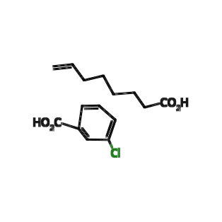 C=CCCCCCC(=O)O.O=C(O)c1cccc(Cl)c1